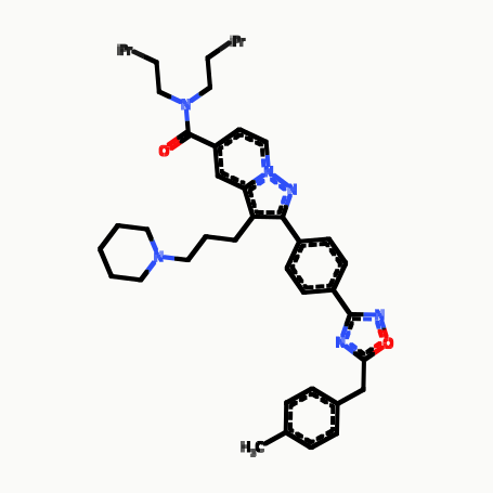 Cc1ccc(Cc2nc(-c3ccc(-c4nn5ccc(C(=O)N(CCC(C)C)CCC(C)C)cc5c4CCCN4CCCCC4)cc3)no2)cc1